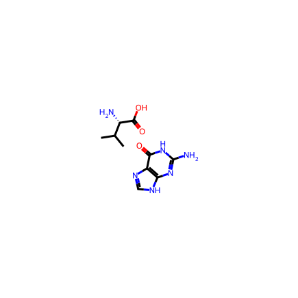 CC(C)[C@H](N)C(=O)O.Nc1nc2[nH]cnc2c(=O)[nH]1